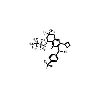 CC1(C)Cc2nc(C3CCC3)c([C@@H](O)c3ccc(C(F)(F)F)cc3)c(I)c2[C@@H](O[Si](C)(C)C(C)(C)C)C1